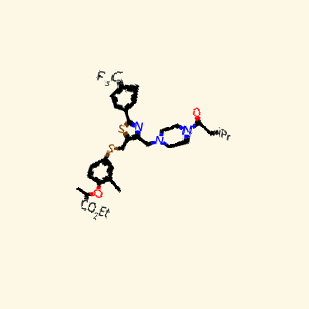 CCOC(=O)C(C)Oc1ccc(SCc2sc(-c3ccc(C(F)(F)F)cc3)nc2CN2CCN(C(=O)CC(C)C)CC2)cc1C